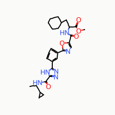 COC(=O)C(CC1CCCCC1)NC(=O)c1cnc(-c2cccc(-c3nnc(C(=O)NC(C)C4CC4)[nH]3)c2)o1